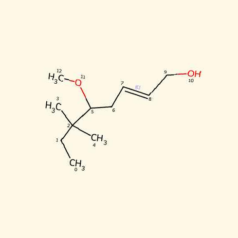 CCC(C)(C)C(C/C=C/CO)OC